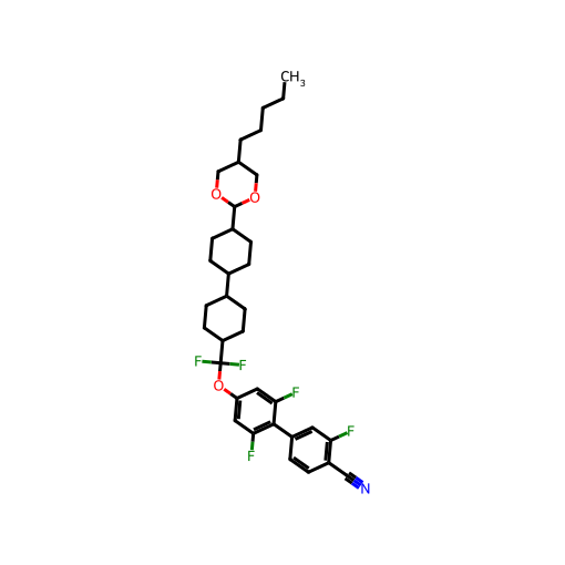 CCCCCC1COC(C2CCC(C3CCC(C(F)(F)Oc4cc(F)c(-c5ccc(C#N)c(F)c5)c(F)c4)CC3)CC2)OC1